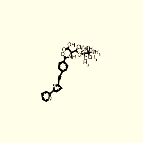 CC(O[Si](C)(C)C(C)(C)C)C(NC(=O)c1ccc(C#Cc2ccc(-c3ccccn3)s2)cc1)C(=O)O